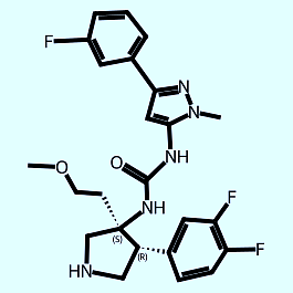 COCC[C@@]1(NC(=O)Nc2cc(-c3cccc(F)c3)nn2C)CNC[C@H]1c1ccc(F)c(F)c1